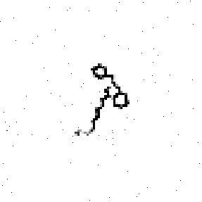 CCCCCCCCCCCCCCCC/C=C/N(Cc1ccccc1)Cc1ccccc1